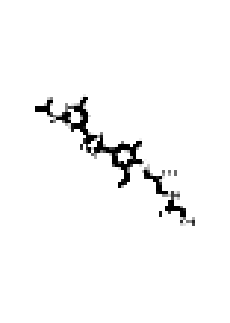 CCc1cc(-c2noc(-c3cc(C)nc(OC(C)C)n3)n2)cc(C)c1OC[C@@H](O)CNC(=O)CO